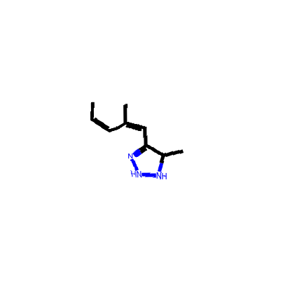 C/C=C\C(C)=C/C1=NNNC1C